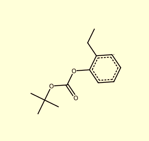 CCc1[c]cccc1OC(=O)OC(C)(C)C